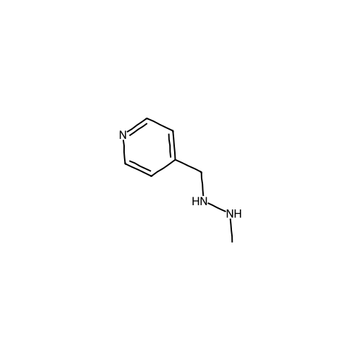 CNNCc1ccncc1